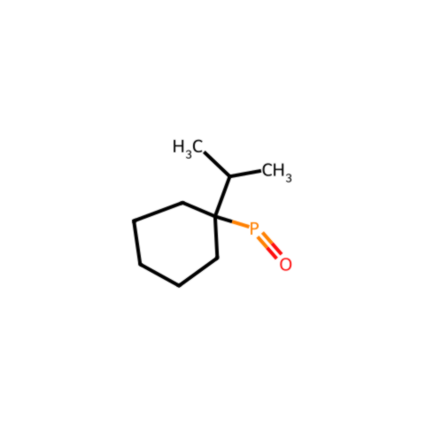 CC(C)C1(P=O)CCCCC1